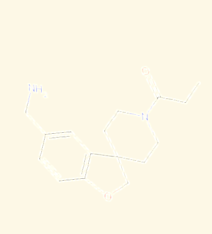 CCC(=O)N1CCC2(CC1)COc1ccc(CN)cc12